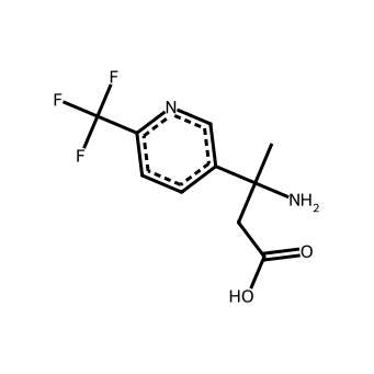 CC(N)(CC(=O)O)c1ccc(C(F)(F)F)nc1